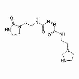 O=C(/N=N\C(=O)NCCN1CCNC1=O)NCCN1CCNC1